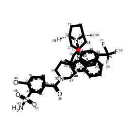 Cc1nc2ccccc2n1C1C[C@H]2CC[C@@H](C1)N2CCC1(c2ccc(C(F)(F)F)cc2)CCN(C(=O)c2ccc(Cl)c(S(N)(=O)=O)c2)CC1